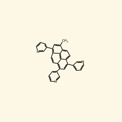 Cc1cc(-c2cccnc2)c2ccc3c(-c4cccnc4)cc(-c4cccnc4)c4ccc1c2c43